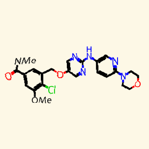 CNC(=O)c1cc(COc2cnc(Nc3ccc(N4CCOCC4)nc3)nc2)c(Cl)c(OC)c1